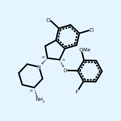 COc1cccc(F)c1O[C@H]1c2cc(Cl)cc(Cl)c2C[C@H]1N1CCC[C@@H](N)C1